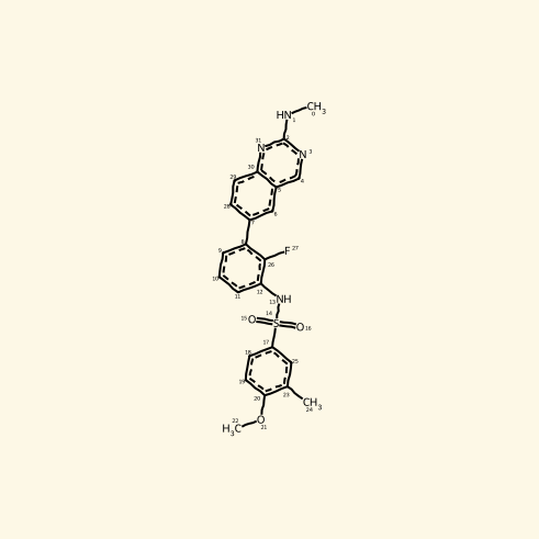 CNc1ncc2cc(-c3cccc(NS(=O)(=O)c4ccc(OC)c(C)c4)c3F)ccc2n1